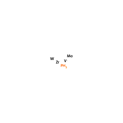 P.[Mo].[V].[W].[Zr]